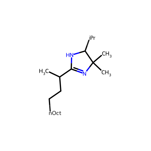 CCCCCCCCCCC(C)C1=NC(C)(C)C(C(C)C)N1